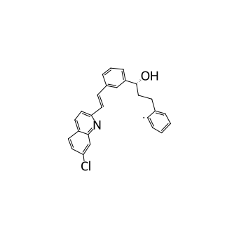 O[C@H](CCc1[c]cccc1)c1cccc(/C=C/c2ccc3ccc(Cl)cc3n2)c1